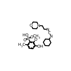 C(=NCCN1CCOCC1)=NC1CCCCC1.COc1c(O)ccc(C)c1S(=O)(=O)O